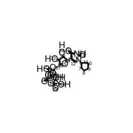 O=c1[nH]c(=O)n(C2CCCCC2)cc1[C@@H]1O[C@H](COP(=O)(O)OP(=O)(O)OP(=O)(O)O)C(O)C1O